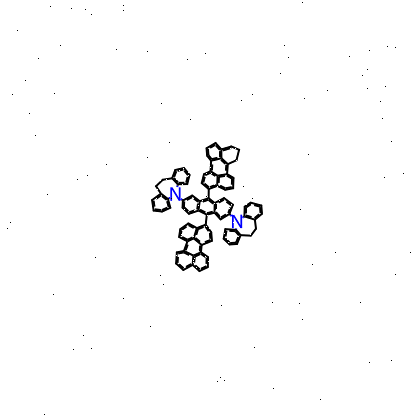 C1=c2cccc3c2c(c2cccc4c(-c5c6cc(N7c8ccccc8CCc8ccccc87)ccc6c(-c6ccc7c8cccc9cccc(c%10cccc6c%107)c98)c6cc(N7c8ccccc8CCc8ccccc87)ccc56)ccc3c42)CC1